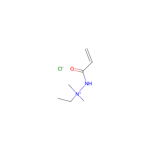 C=CC(=O)N[N+](C)(C)CC.[Cl-]